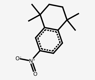 CC1(C)CCC(C)(C)c2cc([N+](=O)[O-])ccc21